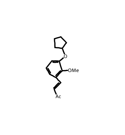 COc1c(C=CC(C)=O)cccc1OC1CCCC1